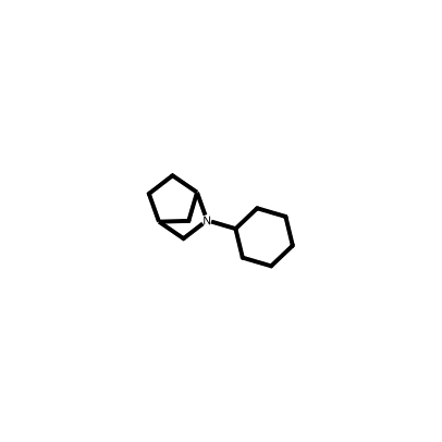 C1CCC(N2CC3CCC2C3)CC1